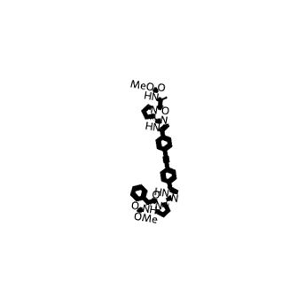 COC(=O)N[C@@H](C)C(=O)N1CCC[C@H]1c1ncc(-c2ccc(C#Cc3ccc(-c4cnc([C@@H]5CCCN5C(=O)[C@H](NC(=O)OC)c5ccccc5)[nH]4)cc3)cc2)[nH]1